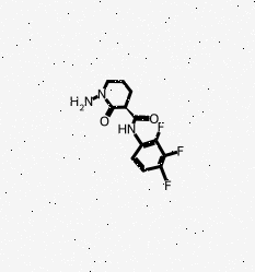 NN1CCC[C@@H](C(=O)Nc2ccc(F)c(F)c2F)C1=O